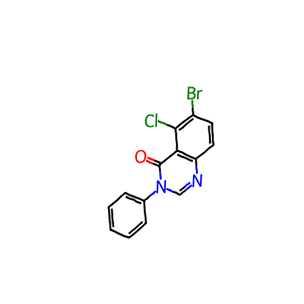 O=c1c2c(Cl)c(Br)ccc2ncn1-c1ccccc1